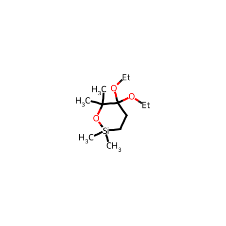 CCOC1(OCC)CC[Si](C)(C)OC1(C)C